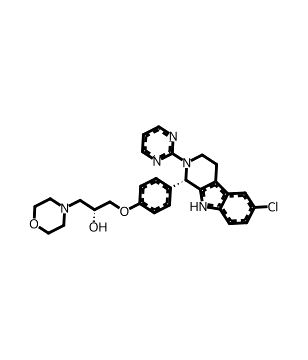 O[C@@H](COc1ccc([C@H]2c3[nH]c4ccc(Cl)cc4c3CCN2c2ncccn2)cc1)CN1CCOCC1